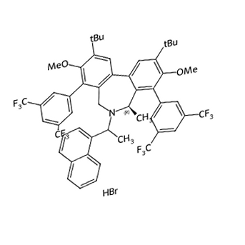 Br.COc1c(C(C)(C)C)cc2c(c1-c1cc(C(F)(F)F)cc(C(F)(F)F)c1)CN(C(C)c1cccc3ccccc13)[C@H](C)c1c-2cc(C(C)(C)C)c(OC)c1-c1cc(C(F)(F)F)cc(C(F)(F)F)c1